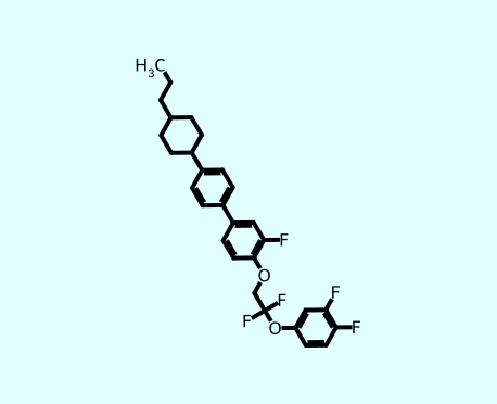 CCCC1CCC(c2ccc(-c3ccc(OCC(F)(F)Oc4ccc(F)c(F)c4)c(F)c3)cc2)CC1